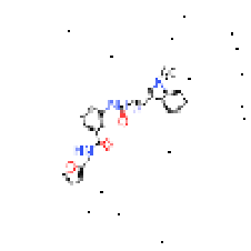 CC(=O)n1cc(/C=C/C(=O)Nc2cccc(C(=O)NCc3ccco3)c2)c2ccccc21